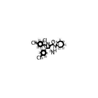 N#C[C@H]1C(C(=O)NN2CCCCCC2)=NN(c2ccc(Cl)cc2Cl)[C@H]1c1ccc(Cl)cc1